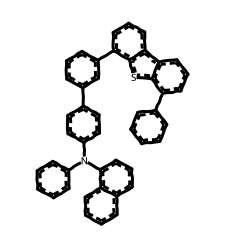 c1ccc(-c2cccc3c2sc2c(-c4cccc(-c5ccc(N(c6ccccc6)c6cccc7ccccc67)cc5)c4)cccc23)cc1